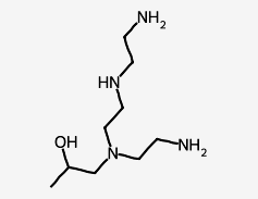 CC(O)CN(CCN)CCNCCN